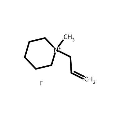 C=CC[N+]1(C)CCCCC1.[I-]